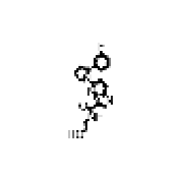 O=C(NCCO)c1cnc2ccc(N3CCC[C@@H]3c3cccc(F)c3)nn12